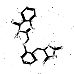 Cn1c(COc2ccccc2CC2SC(=O)NC2=O)nc2ccccc2c1=O